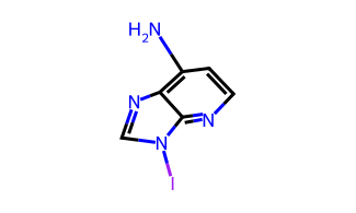 Nc1ccnc2c1ncn2I